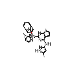 Cc1cc(Nc2nc(NC3=CC4=CC=CC(=C3)N4Cc3nccn3C)nc3sccc23)n[nH]1